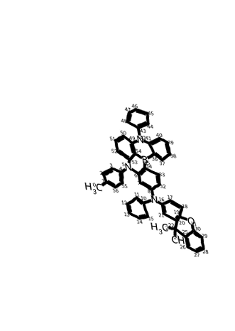 Cc1ccc(N2c3cc(N(c4ccccc4)c4ccc5c(c4)C(C)(C)c4ccccc4O5)ccc3B3c4ccccc4N(c4ccccc4)c4cccc2c43)cc1